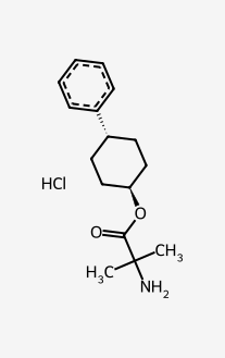 CC(C)(N)C(=O)O[C@H]1CC[C@H](c2ccccc2)CC1.Cl